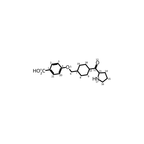 O=C(O)c1ccc(OCC2CCC(C(=O)C3CCCN3)CC2)cc1